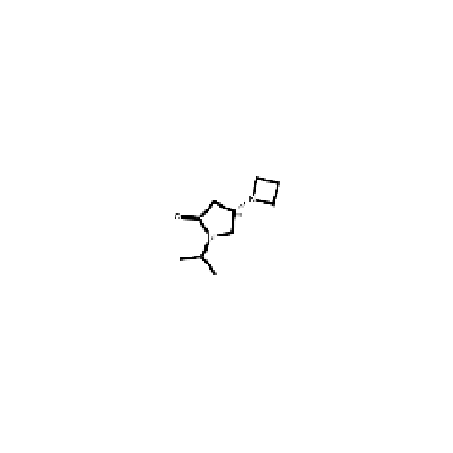 CC(C)N1C[C@@H](N2CCC2)CC1=O